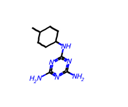 CC1CCC(Nc2nc(N)nc(N)n2)CC1